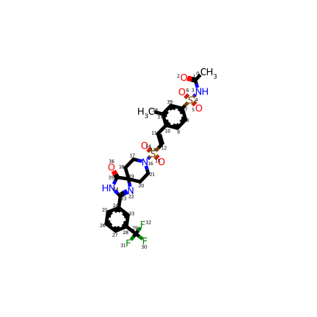 CC(=O)NS(=O)(=O)c1ccc(/C=C/S(=O)(=O)N2CCC3(CC2)N=C(c2cccc(C(F)(F)F)c2)NC3=O)c(C)c1